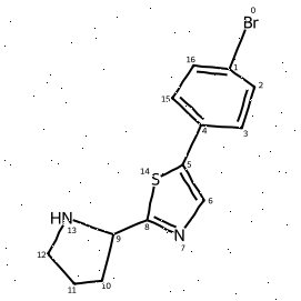 Brc1ccc(-c2cnc(C3CCCN3)s2)cc1